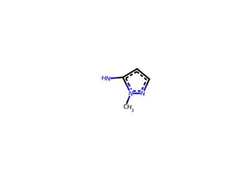 Cn1nccc1[NH]